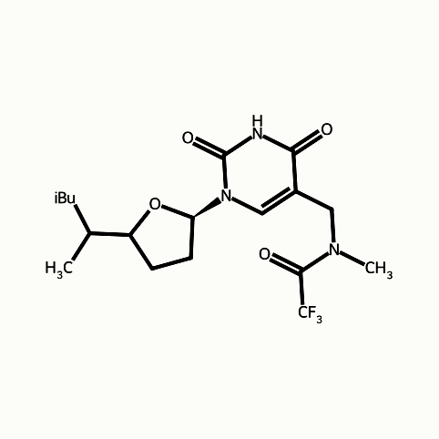 CCC(C)C(C)C1CC[C@H](n2cc(CN(C)C(=O)C(F)(F)F)c(=O)[nH]c2=O)O1